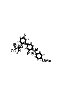 COc1ccc(S(=O)(=O)c2ccc(-c3cc(F)ccc3OC(C)(C(=O)O)C(C)(C)C)cc2F)cc1